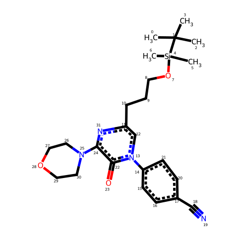 CC(C)(C)[Si](C)(C)OCCCc1cn(-c2ccc(C#N)cc2)c(=O)c(N2CCOCC2)n1